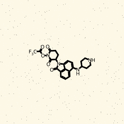 O=C1CCC(N2C(=O)c3cccc4c(NC5CCNCC5)ccc2c34)C(=O)N1OC(=O)C(F)(F)F